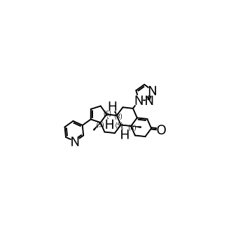 C[C@]12CCC(=O)C=C1C(n1ccnn1)C[C@@H]1[C@@H]2CC[C@]2(C)C(c3cccnc3)=CC[C@@H]12